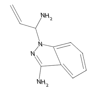 C=CC(N)n1nc(N)c2ccccc21